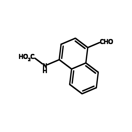 O=Cc1ccc(NC(=O)O)c2ccccc12